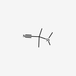 [CH3][Sb]([CH3])[C](C)(C)C#N